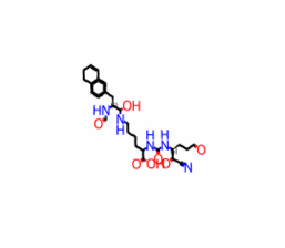 N#CC(=O)[C@H](CCC=O)NC(=O)NC(CCCCNC(O)[C@H](Cc1ccc2c(c1)C=CCC2)NC=O)C(=O)O